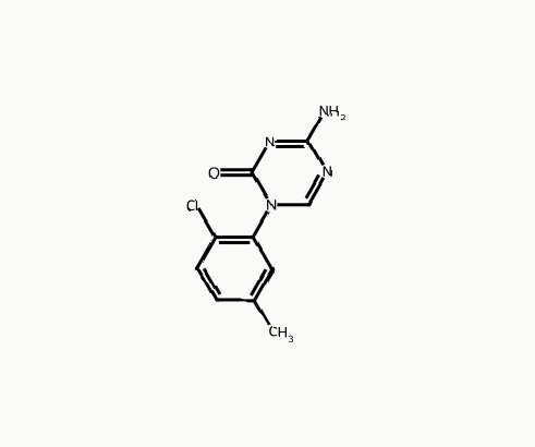 Cc1ccc(Cl)c(-n2cnc(N)nc2=O)c1